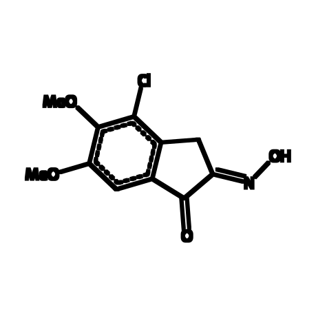 COc1cc2c(c(Cl)c1OC)C/C(=N\O)C2=O